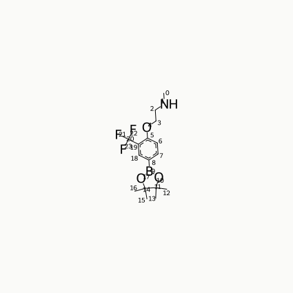 CNCCOc1ccc(B2OC(C)(C)C(C)(C)O2)cc1C(F)(F)F